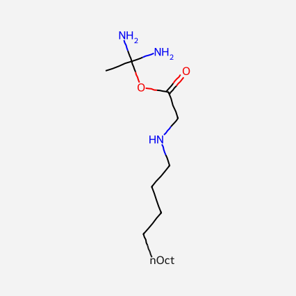 CCCCCCCCCCCCNCC(=O)OC(C)(N)N